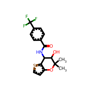 CC1(C)Oc2ccsc2C(NC(=O)c2ccc(C(F)(F)F)cc2)C1O